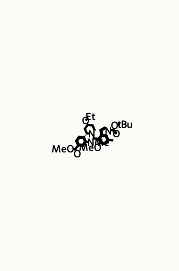 CCO[C@H]1CCN(Cc2c(OC)cc(C)c3c2ccn3C(=O)OC(C)(C)C)[C@H](c2ccc(C(=O)OC)cc2NC)C1